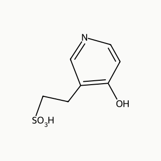 O=S(=O)(O)CCc1cnccc1O